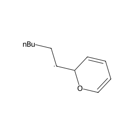 CCCCC[CH]C1C=CC=CO1